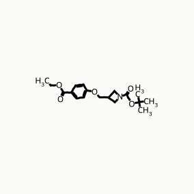 CCOC(=O)c1ccc(OCC2CN(C(=O)OC(C)(C)C)C2)cc1